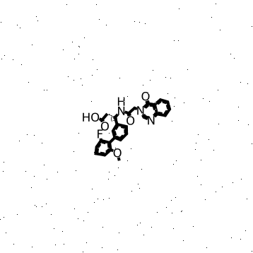 COc1cccc(F)c1-c1cccc([C@H](CC(=O)O)NC(=O)Cn2cnc3ccccc3c2=O)c1